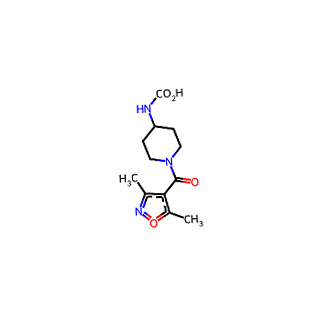 Cc1noc(C)c1C(=O)N1CCC(NC(=O)O)CC1